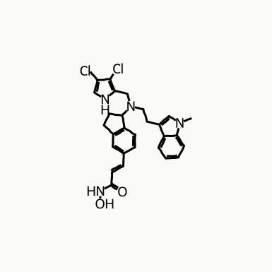 Cn1cc(CCN(Cc2[nH]cc(Cl)c2Cl)C2CCc3cc(/C=C/C(=O)NO)ccc32)c2ccccc21